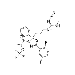 CNC(=NC#N)NCCCC1(c2ccccc2)SC(c2cc(F)ccc2F)=NN1C(=O)C(C)OC(F)(F)F